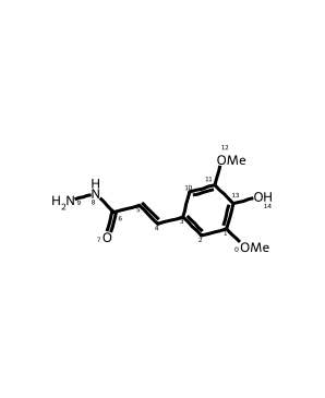 COc1cc(/C=C/C(=O)NN)cc(OC)c1O